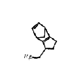 BCC1CCC2=C1C1C=CC2C1